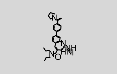 C=C(c1ccc(-c2ccc3c(c2)N=C(NNI)CC(C(=O)N(CCC)CCC)=C3)cc1)N1CCCC1